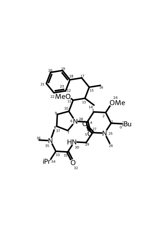 CCC(C)C(C(CC(=O)N1CCCC1C(OC)C(C)C(C)Cc1ccccc1)OC)N(C)C(=O)CNC(=O)C(C(C)C)N(C)C